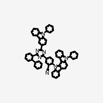 N#Cc1cc(-c2nc(-c3ccc4c(c3)c3ccccc3n4-c3ccccc3)nc(-c3ccccc3-c3ccccc3)n2)ccc1-n1c2ccccc2c2ccc3c(c4ccccc4n3-c3ccccc3)c21